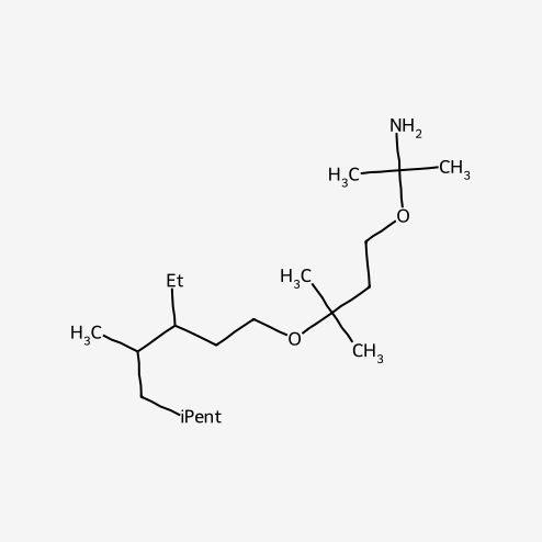 CCCC(C)CC(C)C(CC)CCOC(C)(C)CCOC(C)(C)N